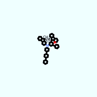 CC1(C)c2ccccc2-c2ccc(N(c3ccc(-c4ccc(-c5ccccc5)cc4)cc3)c3cc(C4(C)c5ccccc5-c5ccccc54)c4oc5ccccc5c4c3)cc21